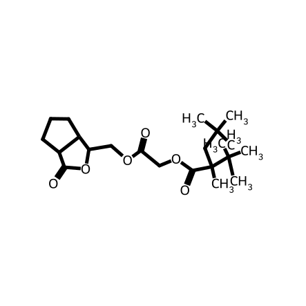 CC(C)(C)CC(C)(C(=O)OCC(=O)OCC1OC(=O)C2CCCC12)C(C)(C)C